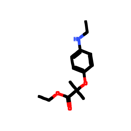 CCNc1ccc(OC(C)(C)C(=O)OCC)cc1